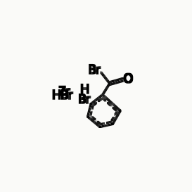 Br.Br.O=C(Br)c1ccccc1.[Zr]